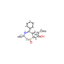 C=C(/C=C1/C(c2ccccc2)=N[C@H](CCCC)C[S+]([O-])/C1=C/CO)OC